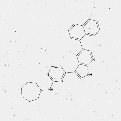 c1ccc2c(-c3cnc4[nH]cc(-c5ccnc(NC6CCCCCC6)n5)c4c3)cccc2c1